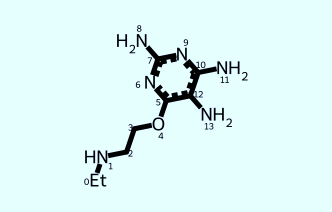 CCNCCOc1nc(N)nc(N)c1N